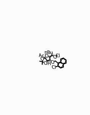 CCCC[C@H](OCl)[C@H]1O[C@]2(C(C)=O)OC(C)(C)O[C@@H]2[C@H]1OCc1c(Cl)ccc2ccccc12